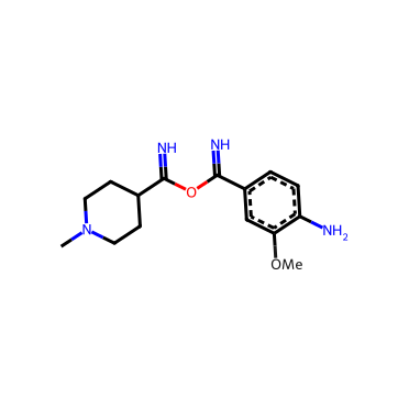 COc1cc(C(=N)OC(=N)C2CCN(C)CC2)ccc1N